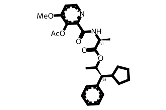 COc1ccnc(C(=O)N[C@@H](C)C(=O)OC(C)[C@H](c2ccccc2)C2CCCC2)c1OC(C)=O